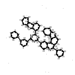 c1ccc(-c2cccc(-c3nc(-c4ccc5nc(-c6ccccc6)c6ccc7sc8ccccc8c7c6c5c4)nc(-c4cccc5c4oc4ccccc45)n3)c2)cc1